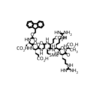 CSCC[C@H](NC(=O)[C@H](CCC(=O)O)NC(=O)[C@H](CC(=O)O)NC(=O)OCC1c2ccccc2-c2ccccc21)C(=O)N[C@@H](CCC(=O)O)C(=O)N[C@@H](CCCNC(=N)N)C(=O)N[C@@H](CCCNC(=N)N)C(=O)N[C@@H](C)C(=O)O